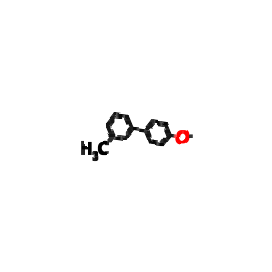 Cc1cccc(-c2ccc([O])cc2)c1